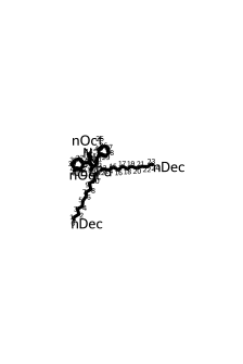 CCCCCCCCCCCCCCCCCCCC[CH2][Pd][CH2]CCCCCCCCCCCCCCCCCCCC.CCCCCCCCc1cccc(C2=CC(CC)=C(c3cccc(CCCCCCCC)c3)[N+]2=[N-])c1